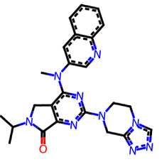 CC(C)N1Cc2c(nc(N3CCn4cnnc4C3)nc2N(C)c2cnc3ccccc3c2)C1=O